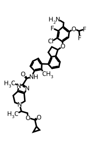 Cc1c(NC(=O)c2nc3c(n2C)CCN(C(C)COC(=O)C2CC2)C3)cccc1-c1cccc2c1CCC2Oc1cc(OC(F)F)c(CN)c(F)c1Cl